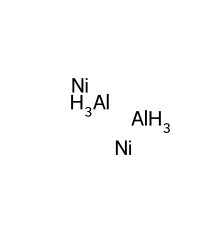 [AlH3].[AlH3].[Ni].[Ni]